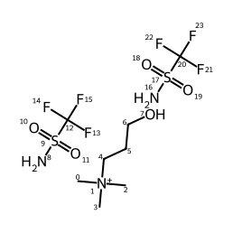 C[N+](C)(C)CCCO.NS(=O)(=O)C(F)(F)F.NS(=O)(=O)C(F)(F)F